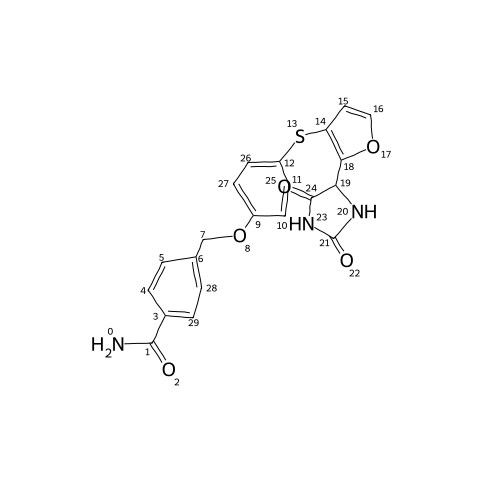 NC(=O)c1ccc(COc2ccc(Sc3ccoc3C3NC(=O)NC3=O)cc2)cc1